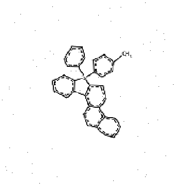 Cc1ccc([Si]2(c3ccccc3)c3ccccc3-c3c2ccc2c3ccc3ccccc32)cc1